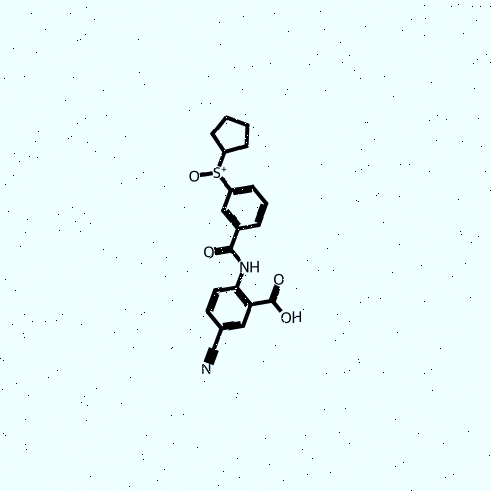 N#Cc1ccc(NC(=O)c2cccc([S+]([O-])C3CCCC3)c2)c(C(=O)O)c1